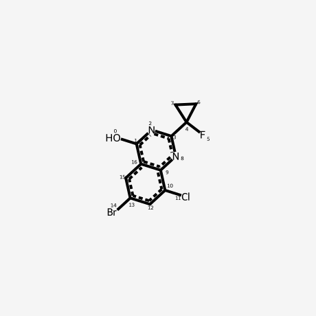 Oc1nc(C2(F)CC2)nc2c(Cl)cc(Br)cc12